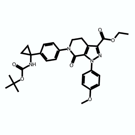 CCOC(=O)c1nn(-c2ccc(OC)cc2)c2c1CCN(c1ccc(C3(NC(=O)OC(C)(C)C)CC3)cc1)C2=O